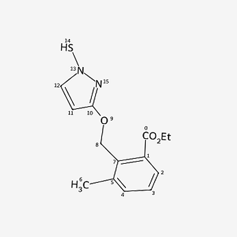 CCOC(=O)c1cccc(C)c1COc1ccn(S)n1